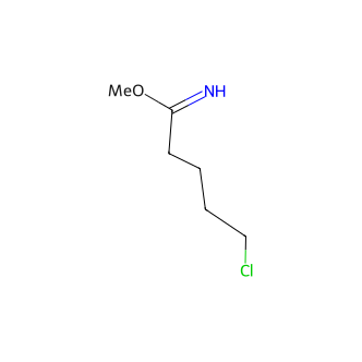 COC(=N)CCCCCl